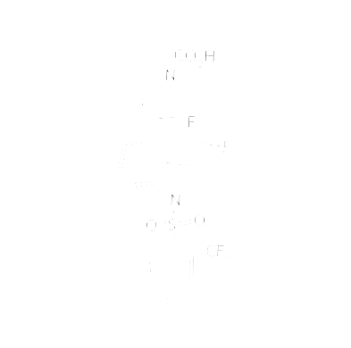 O=C(O)N1CCC(c2cccc3c2c(C(F)F)cn3S(=O)(=O)c2ccccc2C(F)(F)F)CC1